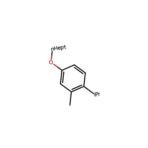 CCCCCCCOc1ccc(C(C)C)c(C)c1